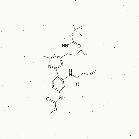 C=CCC(=O)Nc1cc(NC(=O)OC)ccc1-c1cc(C(CC=C)NC(=O)OC(C)(C)C)nc(C)n1